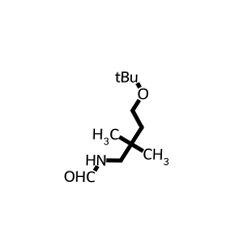 CC(C)(CCOC(C)(C)C)CNC=O